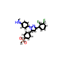 CNc1ccc(-n2nc(-c3cccc(F)c3F)cc2-c2ccc(S(C)(=O)=O)cc2)cc1